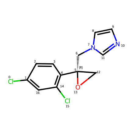 Clc1ccc([C@@]2(Cn3ccnc3)CO2)c(Cl)c1